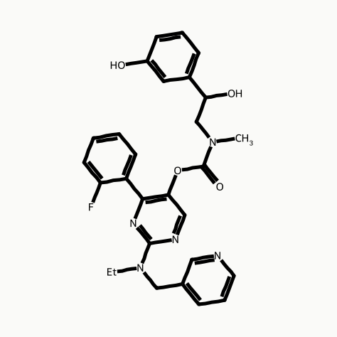 CCN(Cc1cccnc1)c1ncc(OC(=O)N(C)CC(O)c2cccc(O)c2)c(-c2ccccc2F)n1